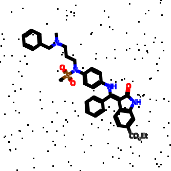 CCOC(=O)c1ccc2c(c1)NC(=O)/C2=C(\Nc1ccc(N(CCCN(C)Cc2ccccc2)S(C)(=O)=O)cc1)c1ccccc1